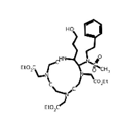 CCOC(=O)CN1CCNC(CCCO)C(N(CCc2ccccc2)S(C)(=O)=O)N(CC(=O)OCC)CCN(CC(=O)OCC)CC1